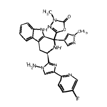 Cn1cc(C2(c3nn(C)c(=O)o3)N[C@@H](c3nc(-c4ccc(F)cn4)cn3N)Cc3c2[nH]c2ccccc32)cn1